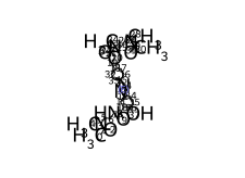 CC(=O)N(C)CCNC(=O)c1cc(/N=N/c2ccc(COC(=O)N(C)CCN(C)C(C)=O)cc2)ccc1O